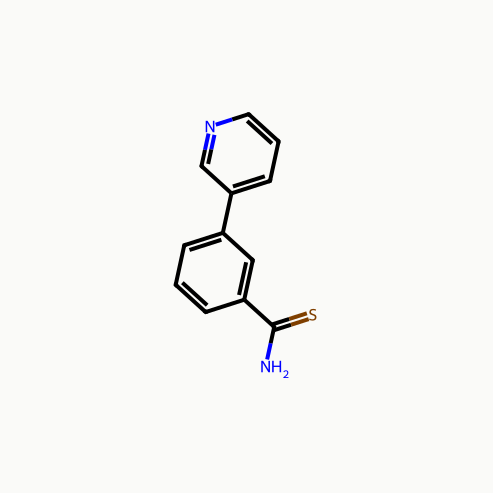 NC(=S)c1cccc(-c2cccnc2)c1